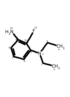 CCN(CC)c1cccc(N)c1F